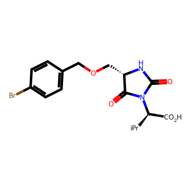 CC(C)[C@H](C(=O)O)N1C(=O)N[C@@H](COCc2ccc(Br)cc2)C1=O